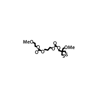 COCCOC(=O)OCCCOC(=O)OCC1(COC)CSSC1